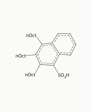 CCCCCCCCc1c(CCCCCCCC)c(S(=O)(=O)O)c2ccccc2c1CCCCCCCC